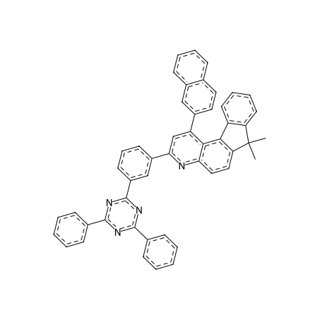 CC1(C)c2ccccc2-c2c1ccc1nc(-c3cccc(-c4nc(-c5ccccc5)nc(-c5ccccc5)n4)c3)cc(-c3ccc4ccccc4c3)c21